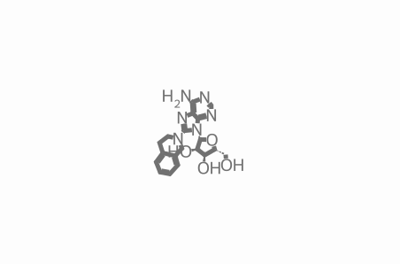 Nc1ncnc2c1nc(N1CCc3ccccc3C1)n2[C@@H]1O[C@H](CO)[C@@H](O)[C@H]1O